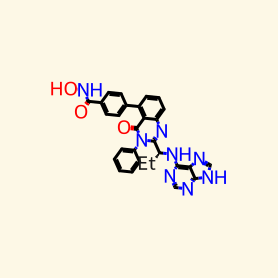 CC[C@H](Nc1ncnc2[nH]cnc12)c1nc2cccc(-c3ccc(C(=O)NO)cc3)c2c(=O)n1-c1ccccc1